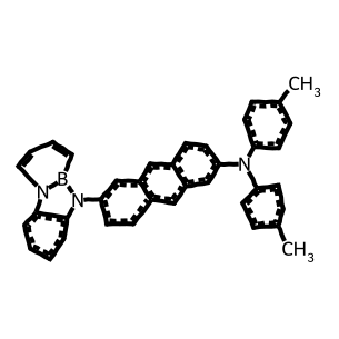 Cc1ccc(N(c2ccc(C)cc2)c2ccc3cc4cc(N5B6C=CC=CN6c6ccccc65)ccc4cc3c2)cc1